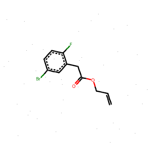 C=CCOC(=O)Cc1cc(Br)ccc1F